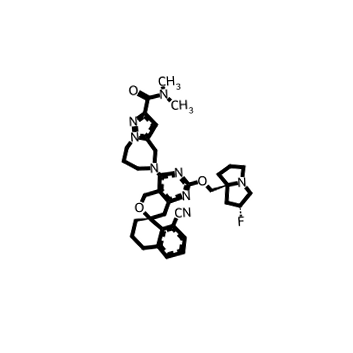 CN(C)C(=O)c1cc2n(n1)CCCN(c1nc(OC[C@@]34CCCN3C[C@H](F)C4)nc3c1CO[C@]1(CCCc4cccc(C#N)c41)C3)C2